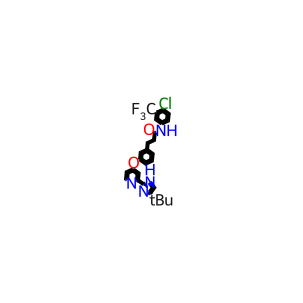 CC(C)(C)c1c[nH]c(-c2cc(Oc3cccc(CCC(=O)Nc4ccc(Cl)c(C(F)(F)F)c4)c3)ccn2)n1